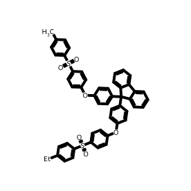 CCc1ccc(S(=O)(=O)c2ccc(Oc3ccc(C4(c5ccc(Oc6ccc(S(=O)(=O)c7ccc(C)cc7)cc6)cc5)c5ccccc5-c5ccccc54)cc3)cc2)cc1